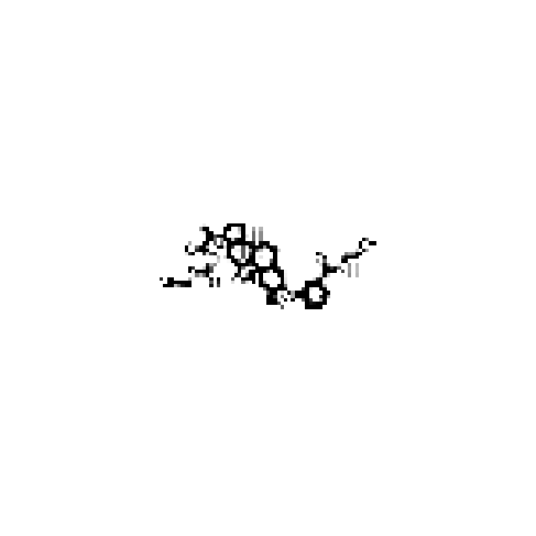 COCCNC(=O)c1cccc(-n2ncc3c2C=C2CC[C@@H]4C(C(O)C[C@]5(C)[C@@H](C(C)C(=O)OC(=O)SCC#N)CC[C@@H]45)C2(C)C3)c1